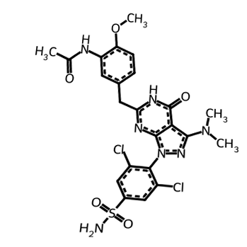 COc1ccc(Cc2nc3c(c(N(C)C)nn3-c3c(Cl)cc(S(N)(=O)=O)cc3Cl)c(=O)[nH]2)cc1NC(C)=O